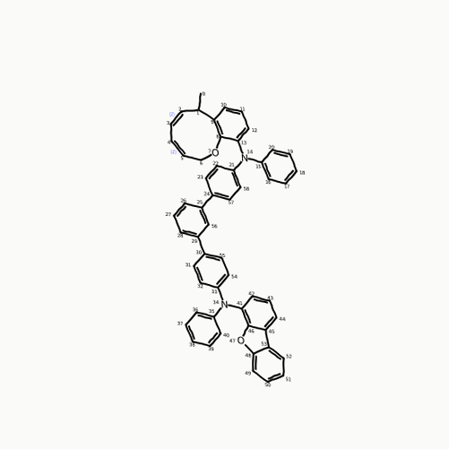 CC1/C=C\C=C/COc2c1cccc2N(c1ccccc1)c1ccc(-c2cccc(-c3ccc(N(c4ccccc4)c4cccc5c4oc4ccccc45)cc3)c2)cc1